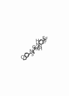 O=C(Nc1nc2cc(C(F)(F)F)ccc2[nH]1)c1csc(-c2ccc3c(c2)CCO3)n1